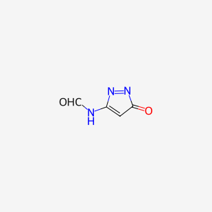 O=CNC1=CC(=O)N=N1